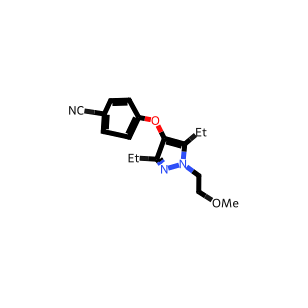 CCc1nn(CCOC)c(CC)c1Oc1ccc(C#N)cc1